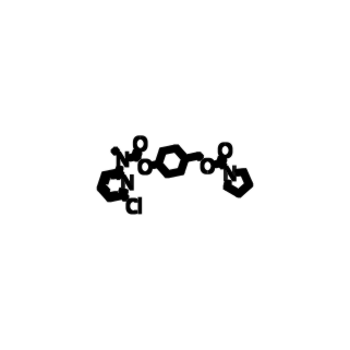 CN(C(=O)OC1CCC(COC(=O)N2CCCC2)CC1)c1cccc(Cl)n1